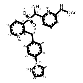 CC(=O)ONc1cccc(C(N)S(=O)(=O)c2cccnc2Cc2ccc(-n3cccn3)cc2)n1